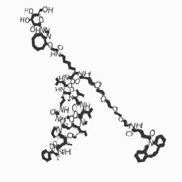 CC[C@H](C)[C@@H]([C@@H](CC(=O)N1CCC[C@H]1[C@H](OC)[C@@H](C)C(=O)N[C@H](C)[C@@H](O)c1ccccc1)OC)N(C)C(=O)[C@@H](NC(=O)[C@H](C(C)C)N(C)C(=O)[C@H](CCCNC(N)=O)NC(=O)[C@@H](NC(=O)[C@@H](CCCCCNC(=O)COC1CCCCCc2c1nnn2C1O[C@H](CO)[C@H](O)[C@H](O)[C@H]1O)NC(=O)CCOCCOCCOCCOCCNC(=O)CCC(=O)N1Cc2ccccc2C#Cc2ccccc21)C(C)C)C(C)C